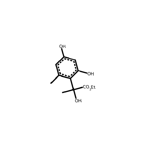 CCOC(=O)C(C)(O)c1c(C)cc(O)cc1O